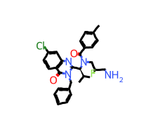 Cc1ccc(C(=O)N(CC(F)CN)[C@H](c2nc3cc(Cl)ccc3c(=O)n2Cc2ccccc2)C(C)C)cc1